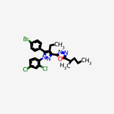 CCCC(C)c1nnc(-c2nn(-c3ccc(Cl)cc3Cl)c(-c3ccc(Br)cc3)c2CC)o1